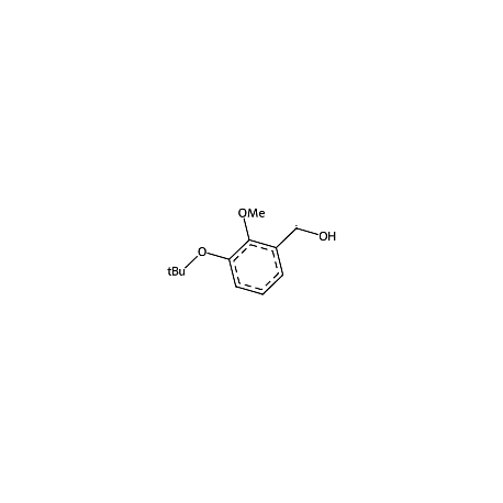 COc1c([CH]O)cccc1OC(C)(C)C